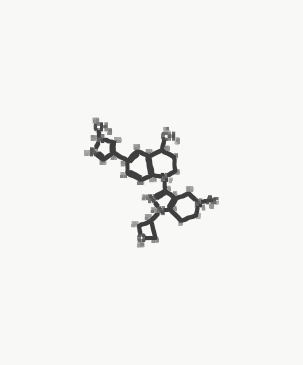 CC(=O)N1CCc2c(c(N3CCC(C)c4cc(-c5cnn(C)c5)ccc43)nn2C2COC2)C1